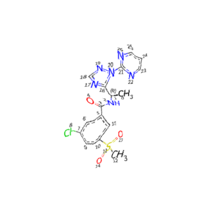 C[C@@H](NC(=O)c1cc(Cl)cc(S(C)(=O)=O)c1)c1ncnn1-c1ncccn1